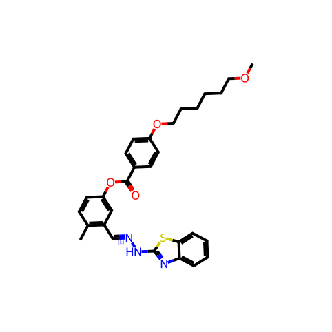 COCCCCCCOc1ccc(C(=O)Oc2ccc(C)c(/C=N/Nc3nc4ccccc4s3)c2)cc1